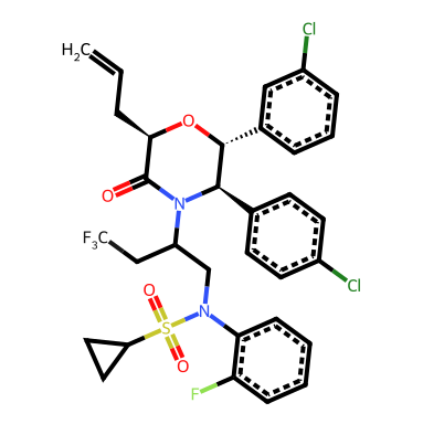 C=CC[C@H]1O[C@H](c2cccc(Cl)c2)[C@@H](c2ccc(Cl)cc2)N(C(CN(c2ccccc2F)S(=O)(=O)C2CC2)CC(F)(F)F)C1=O